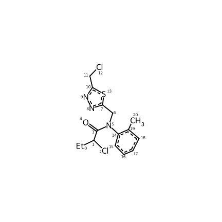 CCC(Cl)C(=O)N(Cc1nnc(CCl)s1)c1ccccc1C